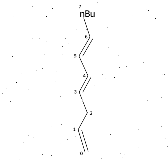 C=CCC=CC=CCCCC